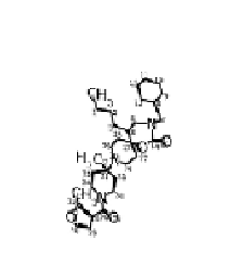 CCCCC1CN(CC2CCCCC2)C(=O)OC12CCN(C1(C)CCN(C(=O)c3ccoc3C)CC1)CC2